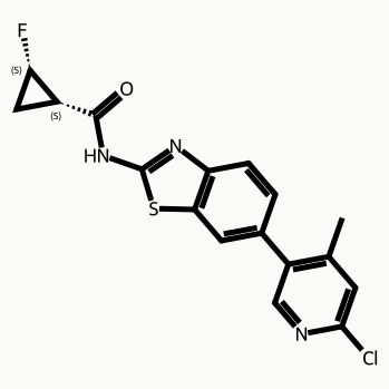 Cc1cc(Cl)ncc1-c1ccc2nc(NC(=O)[C@@H]3C[C@@H]3F)sc2c1